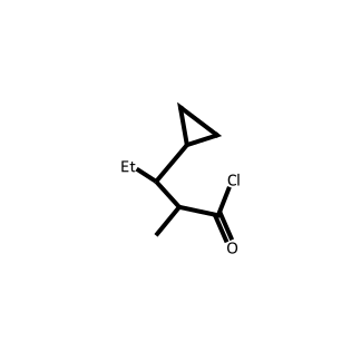 CCC(C1CC1)C(C)C(=O)Cl